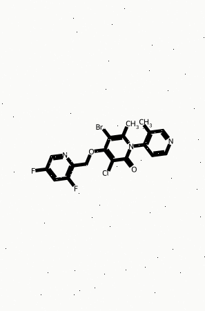 Cc1cnccc1-n1c(C)c(Br)c(OCc2ncc(F)cc2F)c(Cl)c1=O